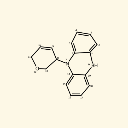 B1c2ccccc2N(C2C=CCOC2)c2ccccc21